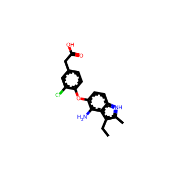 CCc1c(C)[nH]c2ccc(Oc3ccc(CC(=O)O)cc3Cl)c(N)c12